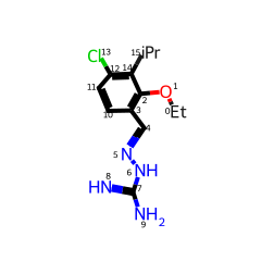 CCOc1c(/C=N/NC(=N)N)ccc(Cl)c1C(C)C